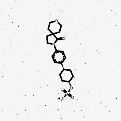 CS(=O)(=O)O[C@H]1CC[C@@H](c2ccc(N3CCC4(CCOCC4)C3=O)cc2)CC1